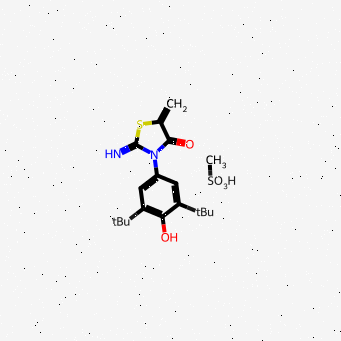 C=C1SC(=N)N(c2cc(C(C)(C)C)c(O)c(C(C)(C)C)c2)C1=O.CS(=O)(=O)O